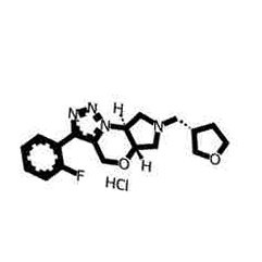 Cl.Fc1ccccc1-c1nnn2c1CO[C@H]1CN(C[C@@H]3CCOC3)C[C@@H]12